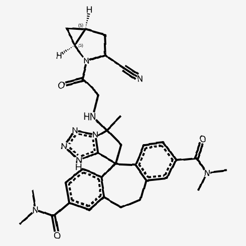 CN(C)C(=O)c1ccc2c(c1)CCc1cc(C(=O)N(C)C)ccc1C2(CC(C)(C)NCC(=O)N1C(C#N)C[C@@H]2C[C@@H]21)c1nnn[nH]1